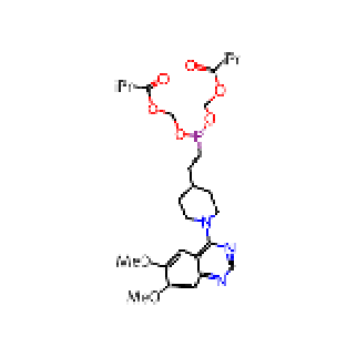 COc1cc2ncnc(N3CCC(CCP(OCOC(=O)C(C)C)OCOC(=O)C(C)C)CC3)c2cc1OC